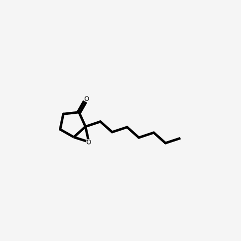 CCCCCCCC12OC1CCC2=O